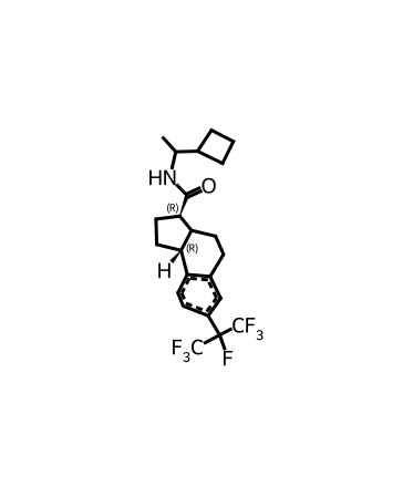 CC(NC(=O)[C@@H]1CC[C@H]2c3ccc(C(F)(C(F)(F)F)C(F)(F)F)cc3CCC12)C1CCC1